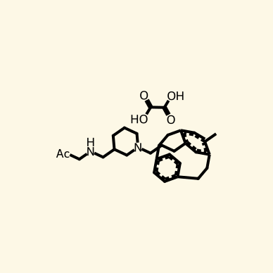 CC(=O)CNCC1CCCN(CCCc2cc3c(C)cc2CCc2ccc(cc2)CC3)C1.O=C(O)C(=O)O